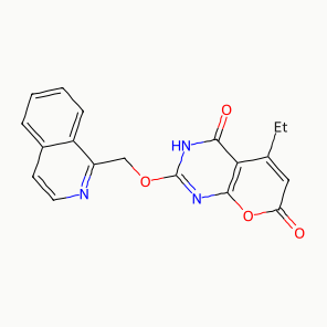 CCc1cc(=O)oc2nc(OCc3nccc4ccccc34)[nH]c(=O)c12